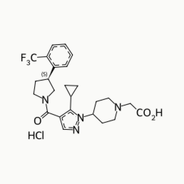 Cl.O=C(O)CN1CCC(n2ncc(C(=O)N3CC[C@@H](c4ccccc4C(F)(F)F)C3)c2C2CC2)CC1